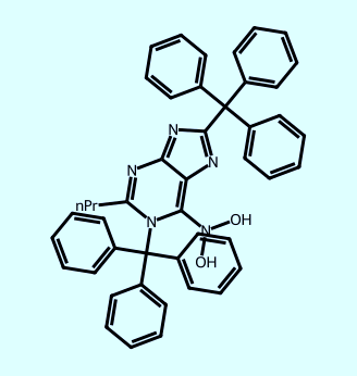 CCCc1nc2nc(C(c3ccccc3)(c3ccccc3)c3ccccc3)nc-2c(N(O)O)n1C(c1ccccc1)(c1ccccc1)c1ccccc1